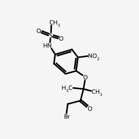 CC(C)(Oc1ccc(NS(C)(=O)=O)cc1[N+](=O)[O-])C(=O)CBr